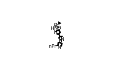 CCCc1cc(-n2cc(-c3ccc(NS(=O)(=O)C4CC4)nc3)cn2)ccn1